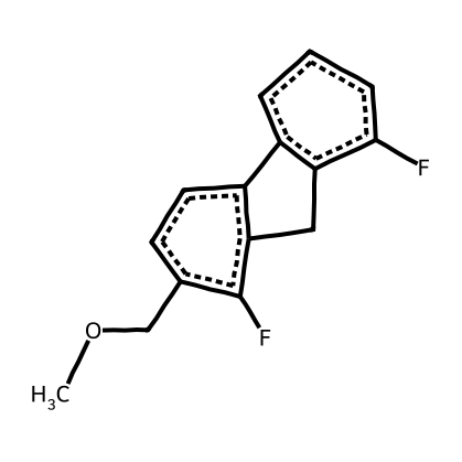 COCc1ccc2c(c1F)Cc1c(F)cccc1-2